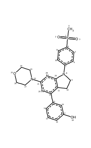 CS(=O)(=O)c1ccc(N2CCc3c(-c4cccc(O)c4)nc(N4CCOCC4)nc32)cc1